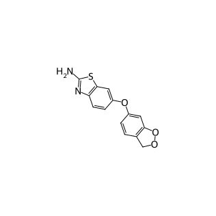 Nc1nc2ccc(Oc3ccc4c(c3)OOC4)cc2s1